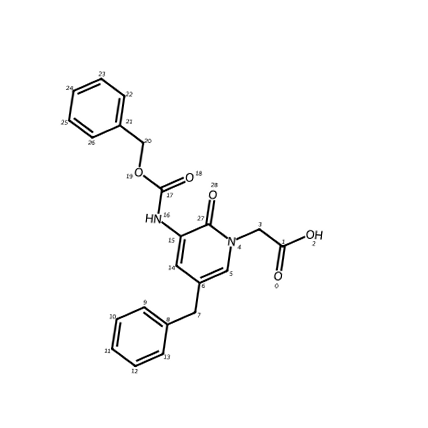 O=C(O)Cn1cc(Cc2ccccc2)cc(NC(=O)OCc2ccccc2)c1=O